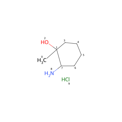 CC1(O)CCCCC1N.Cl